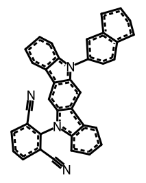 N#Cc1cccc(C#N)c1-n1c2ccccc2c2cc3c(cc21)c1ccccc1n3-c1ccc2ccccc2c1